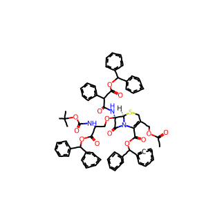 CC(=O)OCC1=C(C(=O)OC(c2ccccc2)c2ccccc2)N2C(=O)[C@@](NC(=O)C(C(=O)OC(c3ccccc3)c3ccccc3)c3ccccc3)(OCC(NC(=O)OC(C)(C)C)C(=O)OC(c3ccccc3)c3ccccc3)[C@H]2SC1